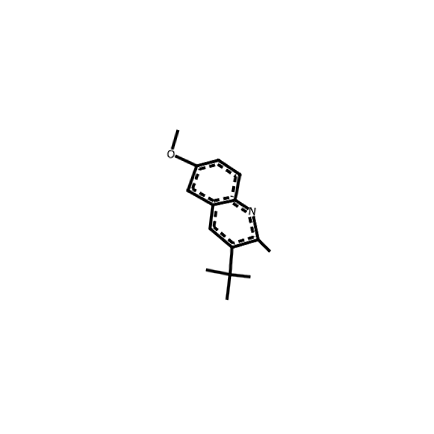 COc1ccc2nc(C)c(C(C)(C)C)cc2c1